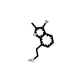 Cc1oc2c(CCO)cccc2c1Br